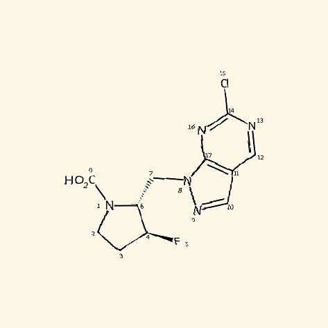 O=C(O)N1CC[C@H](F)[C@H]1Cn1ncc2cnc(Cl)nc21